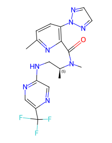 Cc1ccc(-n2nccn2)c(C(=O)N(C)[C@@H](C)CNc2cnc(C(F)(F)F)cn2)n1